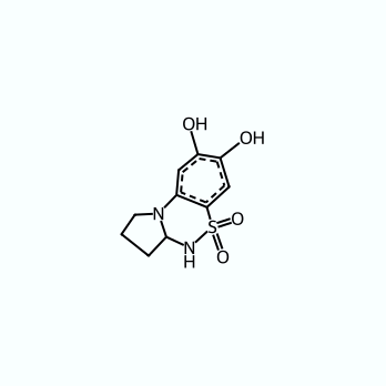 O=S1(=O)NC2CCCN2c2cc(O)c(O)cc21